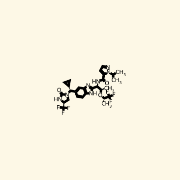 CC(C)n1nccc1C(=O)N[C@H](c1nc2cc([C@@H](C3CC3)N3C[C@@H](C(F)(F)F)NC3=O)ccc2[nH]1)[C@@H](C)O[C@@H](C)C(F)(F)F